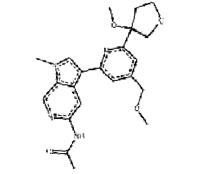 COCc1cc(-c2cn(C)c3cnc(NC(C)=O)cc23)nc(C2(OC)CCOC2)c1